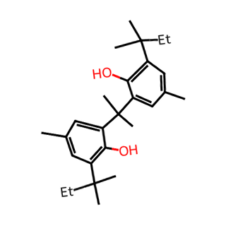 CCC(C)(C)c1cc(C)cc(C(C)(C)c2cc(C)cc(C(C)(C)CC)c2O)c1O